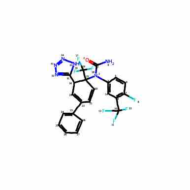 NC(=O)N(c1ccc(F)c(C(F)(F)F)c1)C1(C(F)(F)F)C=CC(c2ccccc2)=CC1c1nnn[nH]1